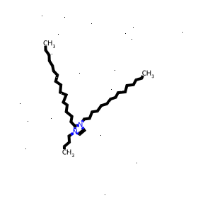 CCCCCCCCCCCCCCCCC1N(CCCC)C=CN1CCCCCCCCCCCCCCC